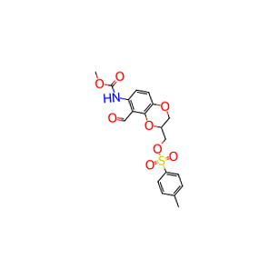 COC(=O)Nc1ccc2c(c1C=O)OC(COS(=O)(=O)c1ccc(C)cc1)CO2